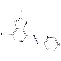 Cc1cc2c(O)ccc(/N=N/c3ccncn3)c2s1